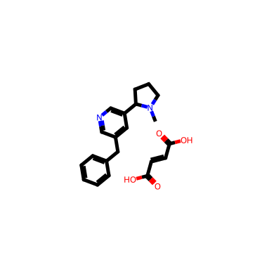 CN1CCCC1c1cncc(Cc2ccccc2)c1.O=C(O)/C=C/C(=O)O